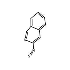 S=Nc1cc2ccccc2cn1